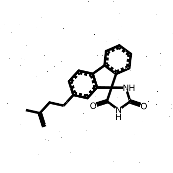 C=C(C)CCc1ccc2c(c1)C1(NC(=O)NC1=O)c1ccccc1-2